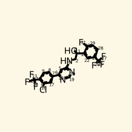 OC(CNc1cc(-c2ccc(C(F)(F)F)c(Cl)c2)ncn1)c1cc(C(F)(F)F)ccc1F